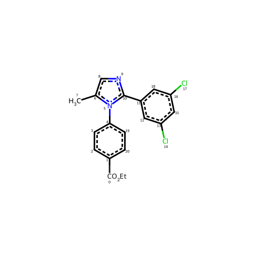 CCOC(=O)c1ccc(-n2c(C)cnc2-c2cc(Cl)cc(Cl)c2)cc1